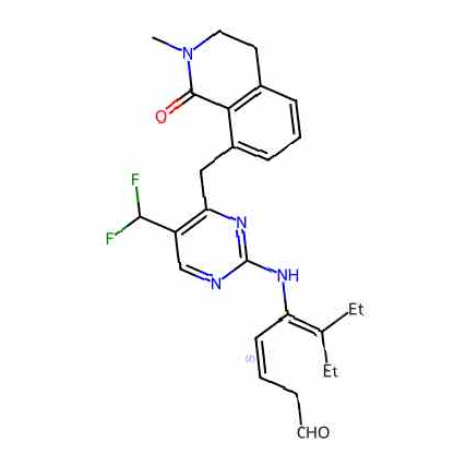 CCC(CC)=C(/C=C\CC=O)Nc1ncc(C(F)F)c(Cc2cccc3c2C(=O)N(C)CC3)n1